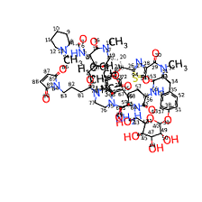 CC[C@H](C)[C@H](NC(=O)[C@H]1CCCCN1C)C(=O)N(C)[C@H](C[C@@H](OC(C)=O)c1nc(C(=O)N(C)[C@@H](Cc2ccc(OC3OC(CO)C(O)C(O)C3O)cc2)C(=O)N[C@H](CCCCN)C(=O)N[C@@H](Cc2ccccc2)C(=O)N2CCN(C(=O)CCCN3C(=O)C=CC3=O)CC2)cs1)C(C)C